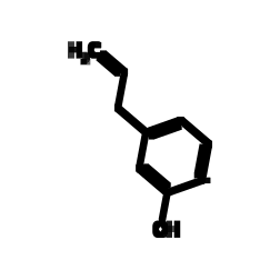 C=CCc1cc[c]c(O)c1